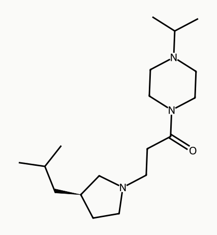 CC(C)C[C@@H]1CCN(CCC(=O)N2CCN(C(C)C)CC2)C1